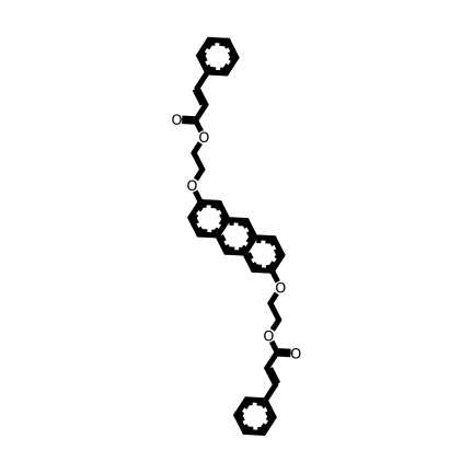 O=C(/C=C/c1ccccc1)OCCOc1ccc2cc3cc(OCCOC(=O)/C=C/c4ccccc4)ccc3cc2c1